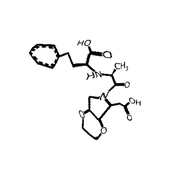 C[C@H](NC(CCc1ccccc1)C(=O)O)C(=O)N1CC2OCCOC2C1C(=O)O